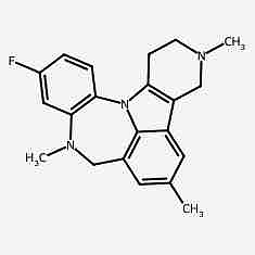 Cc1cc2c3c(c1)c1c(n3-c3ccc(F)cc3N(C)C2)CCN(C)C1